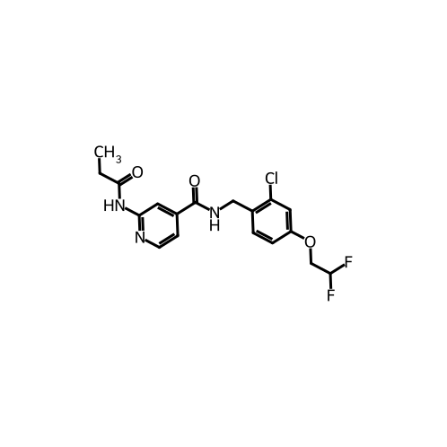 CCC(=O)Nc1cc(C(=O)NCc2ccc(OCC(F)F)cc2Cl)ccn1